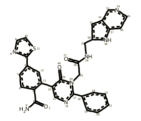 NC(=O)c1ccc(-c2nccs2)cc1-c1cnc(-c2ccccc2)n(CC(=O)NCc2cc3cnccc3[nH]2)c1=O